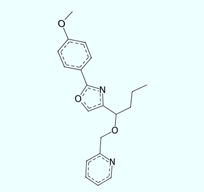 CCCC(OCc1ccccn1)c1coc(-c2ccc(OC)cc2)n1